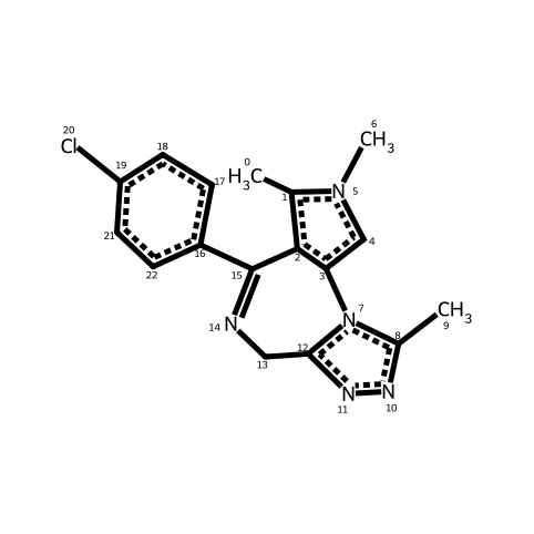 Cc1c2c(cn1C)-n1c(C)nnc1CN=C2c1ccc(Cl)cc1